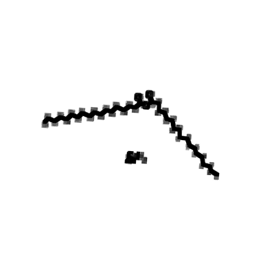 CCCCCCCCCCCCCCCCCC(=O)OC(=O)CCCCCCCCCCCCCCCCC.[CaH2].[Zn]